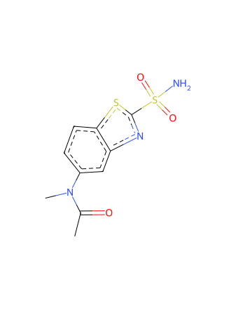 CC(=O)N(C)c1ccc2sc(S(N)(=O)=O)nc2c1